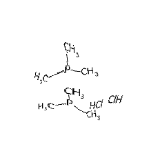 CP(C)C.CP(C)C.Cl.Cl